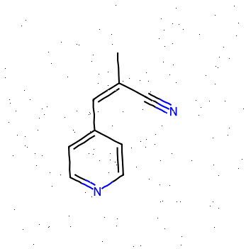 CC(C#N)=Cc1ccncc1